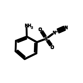 N#[N+]S(=O)(=O)c1ccccc1N